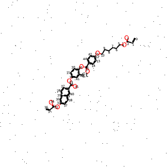 C=CC(=O)OCCCCCCOc1ccc(C(=O)Oc2ccc(OC(=O)c3ccc4cc(OC(=O)C=C)ccc4c3)cc2CC)cc1